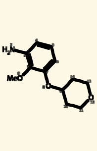 COc1c(N)cccc1OC1CCOCC1